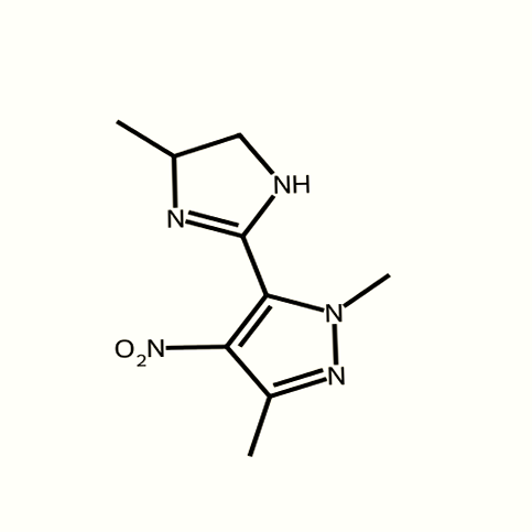 Cc1nn(C)c(C2=NC(C)CN2)c1[N+](=O)[O-]